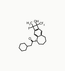 CC1(F)c2cc3c(cc2C1(O)C(F)(F)F)CCCCN3C(=O)CC1CCCCC1